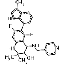 Cc1c[nH]c2c(-c3c(F)cc4c(c3F)C(NCc3ccncc3)C(O)C(C)(C)N4)cccc12